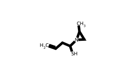 C=CCC(S)N1CC1C